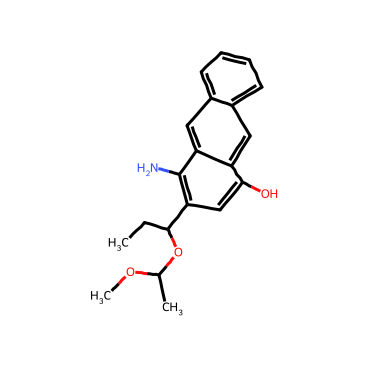 CCC(OC(C)OC)c1cc(O)c2cc3ccccc3cc2c1N